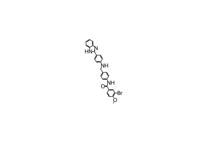 COc1ccc(C(=O)Nc2ccc(CNc3ccc(-c4nc5ccccc5[nH]4)cc3)cc2)cc1Br